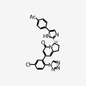 CC(=O)c1ccc(-c2cnc([C@@H]3CCc4cc(-c5cc(Cl)ccc5-n5cnnn5)cc(=O)n43)[nH]2)cc1